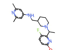 COc1ccc(F)c(C(C)N2CCCC(CNc3cc(C)nc(C)c3)C2)n1